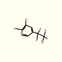 FC(F)(Cl)C(F)(F)c1cnc(Cl)c(Cl)c1